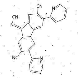 N#CN=C1c2cc(C#N)c(-c3ccccn3)cc2-c2cc(-c3ccccn3)c(C#N)cc21